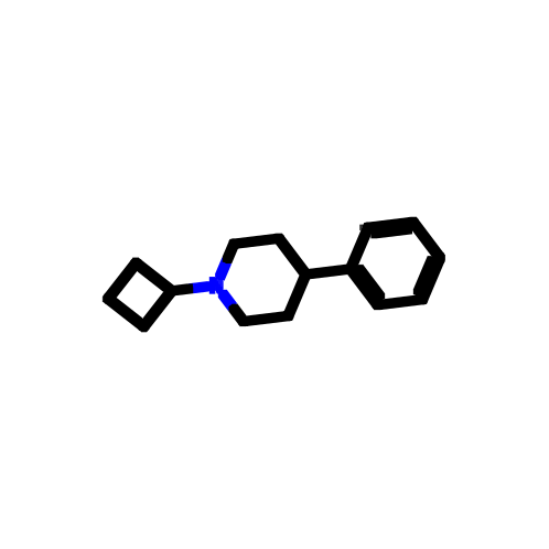 [c]1ccccc1C1CCN(C2CCC2)CC1